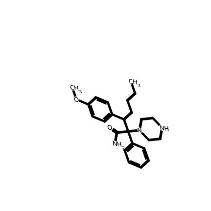 CCCCC(c1ccc(OC)cc1)C(C(N)=O)(c1ccccc1)N1CCNCC1